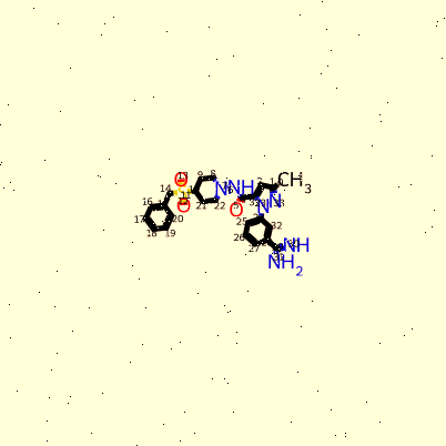 Cc1cc(C(=O)NN2CCC(S(=O)(=O)Cc3ccccc3)CC2)n(-c2cccc(C(=N)N)c2)n1